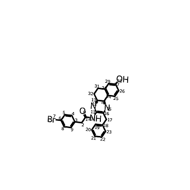 O=C(Cc1ccc(Br)cc1)Nc1nc2c(nc1Cc1ccccc1)-c1ccc(O)cc1CC2